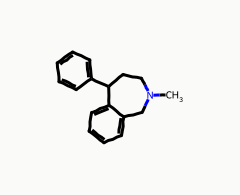 CN1CCC(c2ccccc2)c2ccccc2C1